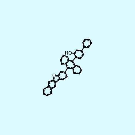 Oc1cc(-c2ccccc2)ccc1-c1c2ccccc2c(-c2ccc3c(c2)oc2cc4ccccc4cc23)c2ccccc12